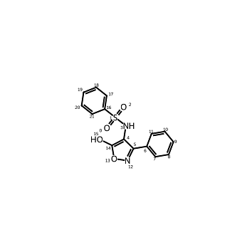 O=S(=O)(Nc1c(-c2ccccc2)noc1O)c1ccccc1